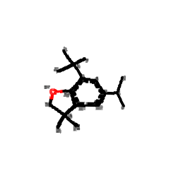 CC(C)c1cc(C(C)(C)C)c2c(c1)C(C)(C)CO2